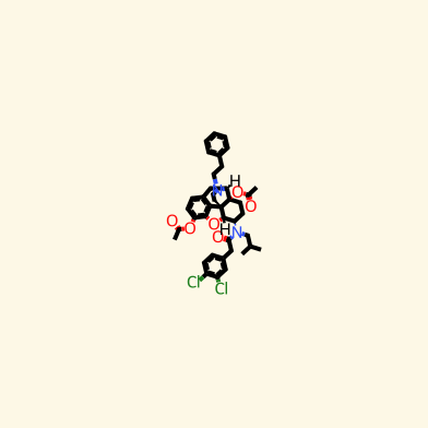 CC(=O)Oc1ccc2c3c1O[C@H]1[C@@H](N(CC(C)C)C(=O)Cc4ccc(Cl)c(Cl)c4)CC[C@@]4(OC(C)=O)[C@@H](C2)N(CCc2ccccc2)CC[C@]314